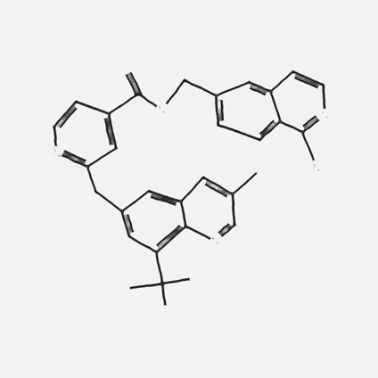 Cc1cnc2c(C(C)(C)O)cc(Cc3cc(C(=O)NCc4ccc5c(N)nccc5c4)ccn3)cc2c1